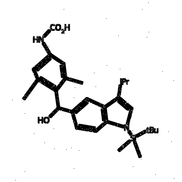 Cc1cc(NC(=O)O)cc(C)c1C(O)c1ccc2c(c1)c(C(C)C)cn2[Si](C)(C)C(C)(C)C